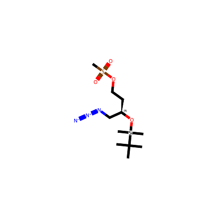 CC(C)(C)[Si](C)(C)O[C@H](CCOS(C)(=O)=O)CN=[N+]=[N-]